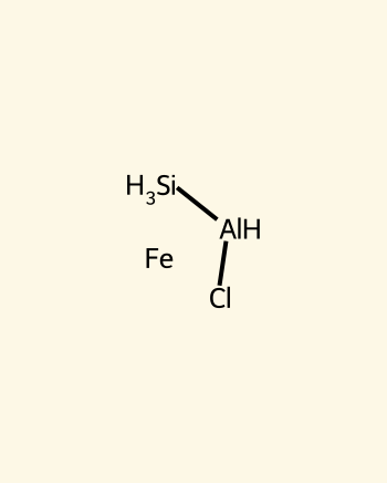 [Fe].[SiH3][AlH][Cl]